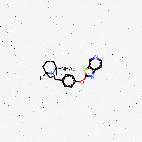 CC(=O)N[C@@]12CCC[C@@H](CC1)N2Cc1ccc(Oc2nc3ccncc3s2)cc1